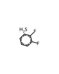 Fc1ccccc1F.S